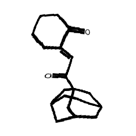 O=C1CCCC/C1=C\C(=O)C12CC3CC(CC(C3)C1)C2